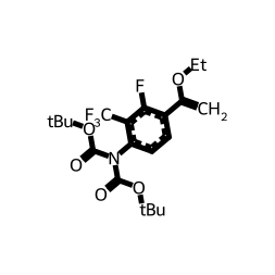 C=C(OCC)c1ccc(N(C(=O)OC(C)(C)C)C(=O)OC(C)(C)C)c(C(F)(F)F)c1F